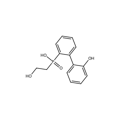 O=P(O)(CCO)c1ccccc1-c1ccccc1O